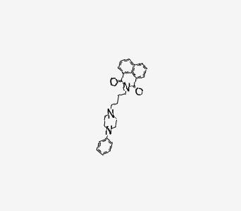 O=C1c2cccc3cccc(c23)C(=O)N1CCCCN1CCN(c2ccccc2)CC1